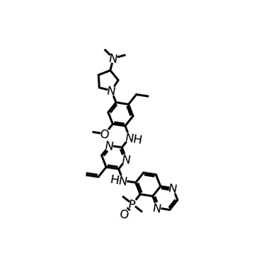 C=Cc1cnc(Nc2cc(CC)c(N3CCC(N(C)C)C3)cc2OC)nc1Nc1ccc2nccnc2c1P(C)(C)=O